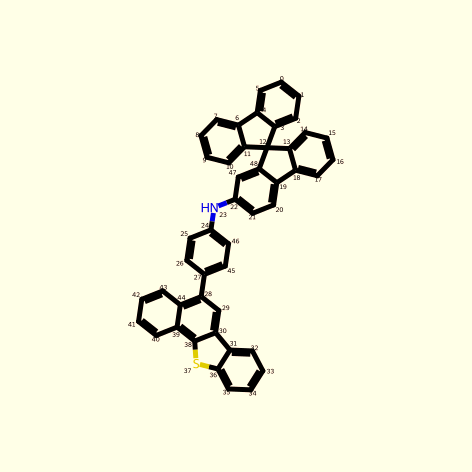 c1ccc2c(c1)-c1ccccc1C21c2ccccc2-c2ccc(Nc3ccc(-c4cc5c6ccccc6sc5c5ccccc45)cc3)cc21